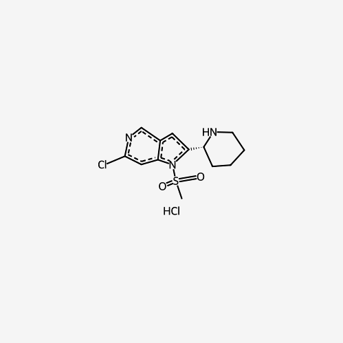 CS(=O)(=O)n1c([C@H]2CCCCN2)cc2cnc(Cl)cc21.Cl